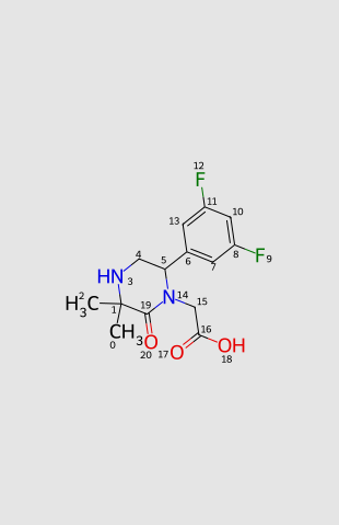 CC1(C)NCC(c2cc(F)cc(F)c2)N(CC(=O)O)C1=O